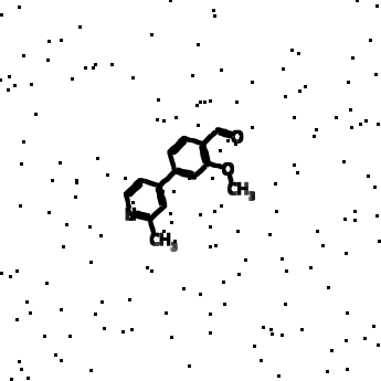 COc1cc(-c2ccnc(C)c2)ccc1C=O